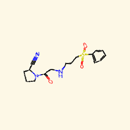 N#CC1CCCN1C(=O)CNCCCS(=O)(=O)c1ccccc1